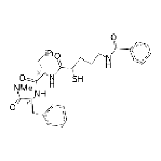 CNC(=O)[C@H](Cc1ccccc1)NC(=O)[C@H](CC(C)C)NC(=O)C(S)CCCNC(=O)c1ccccc1